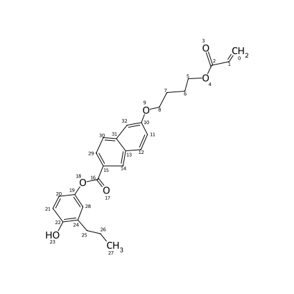 C=CC(=O)OCCCCOc1ccc2cc(C(=O)Oc3ccc(O)c(CCC)c3)ccc2c1